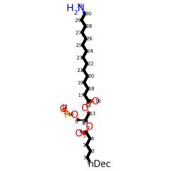 CCCCCCCCCCCCCCC(=O)O[C@@H](COP=O)COC(=O)CCCCCCCCCCCCCCN